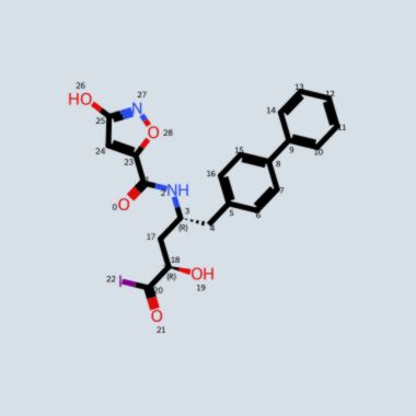 O=C(N[C@H](Cc1ccc(-c2ccccc2)cc1)C[C@@H](O)C(=O)I)c1cc(O)no1